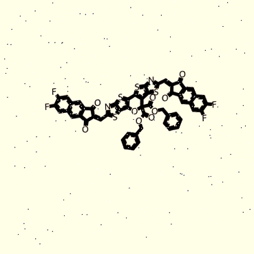 O=C1C(=Cc2nc3sc4c(c3s2)OC(C(=O)OCc2ccccc2)(C(=O)OCc2ccccc2)c2c-4sc3nc(C=C4C(=O)c5cc6cc(F)c(F)cc6cc5C4=O)sc23)C(=O)c2cc3cc(F)c(F)cc3cc21